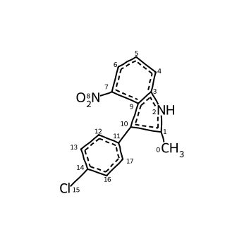 Cc1[nH]c2cccc([N+](=O)[O-])c2c1-c1ccc(Cl)cc1